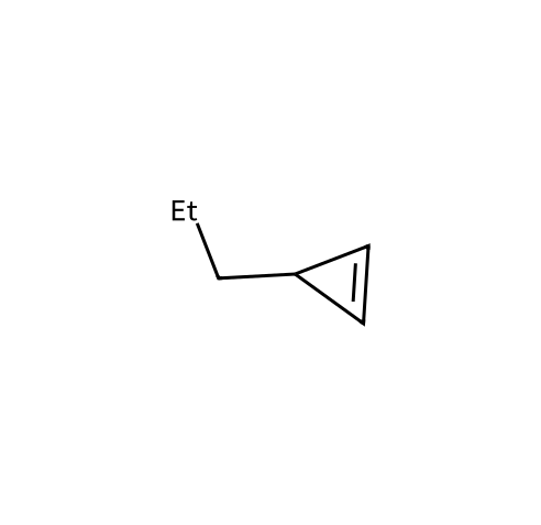 [CH2]CCC1C=C1